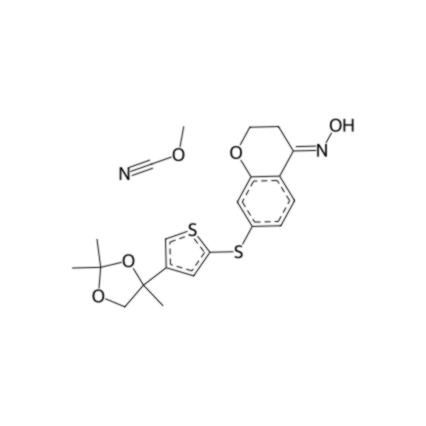 CC1(C)OCC(C)(c2csc(Sc3ccc4c(c3)OCCC4=NO)c2)O1.COC#N